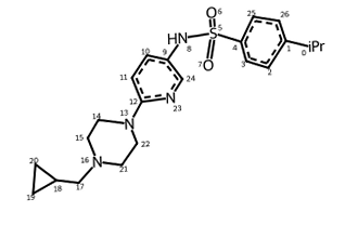 CC(C)c1ccc(S(=O)(=O)Nc2ccc(N3CCN(CC4CC4)CC3)nc2)cc1